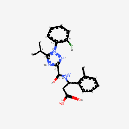 Cc1ccccc1C(CC(=O)O)NC(=O)c1nc(C(C)C)n(-c2ccccc2Cl)n1